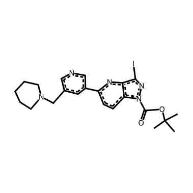 CC(C)(C)OC(=O)n1nc(I)c2nc(-c3cncc(CN4CCCCC4)c3)ccc21